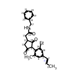 C/C=C/c1cc(C)c(C2C(=O)CC(CC(=O)NCc3ccccc3)C2=O)c(CC)c1